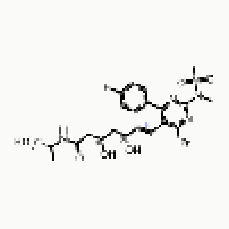 CC(NC(=O)C[C@H](O)C[C@@H](O)/C=C/c1c(-c2ccc(F)cc2)nc(N(C)S(C)(=O)=O)nc1C(C)C)C(=O)O